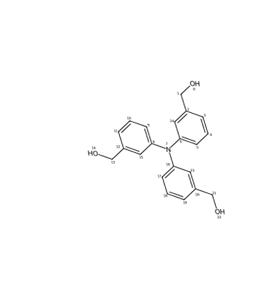 OCc1cccc(N(c2cccc(CO)c2)c2cccc(CO)c2)c1